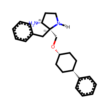 [2H]N1CC[C@@H](N)[C@]1(CO[C@H]1CC[C@@H](c2ccccc2)CC1)Cc1ccccc1